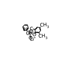 Cc1cc(C)c(OP(=O)([O-])Oc2ccccc2)c(C)c1.[Li+]